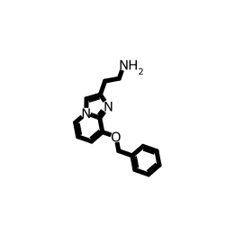 NCCc1cn2cccc(OCc3ccccc3)c2n1